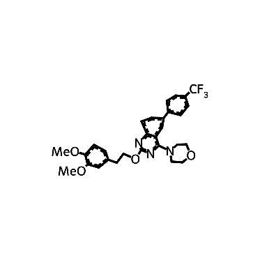 COc1ccc(CCOc2nc(N3CCOCC3)c3cc(-c4ccc(C(F)(F)F)cc4)ccc3n2)cc1OC